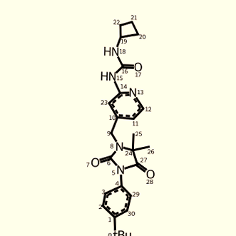 CC(C)(C)c1ccc(N2C(=O)N(Cc3ccnc(NC(=O)NC4CCC4)c3)C(C)(C)C2=O)cc1